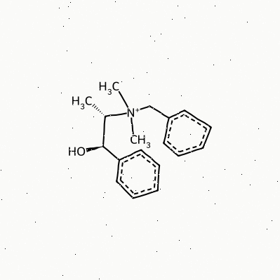 C[C@@H]([C@H](O)c1ccccc1)[N+](C)(C)Cc1ccccc1